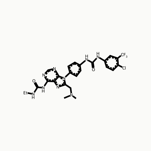 CCNC(=O)Nc1ncnc2c1nc(CN(C)C)n2-c1ccc(NC(=O)Nc2ccc(Cl)c(C(F)(F)F)c2)cc1